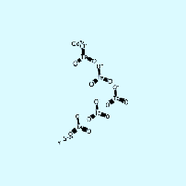 [Gd+3].[O]=[Ta](=[O])[O-].[O]=[Ta](=[O])[O-].[O]=[Ta](=[O])[O-].[O]=[Ta](=[O])[O-].[O]=[Ta](=[O])[O-].[Sr+2].[Y]